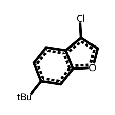 CC(C)(C)c1ccc2c(Cl)coc2c1